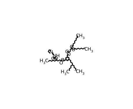 C[CH]CCCC(CCCCC)CCCc1cc(COC(=O)CCC(CCCCCC)OC(=O)NCCN2CCCC2)cc(COC(=O)CCC(OCCCCCCCC)OCCCCCCCC)c1